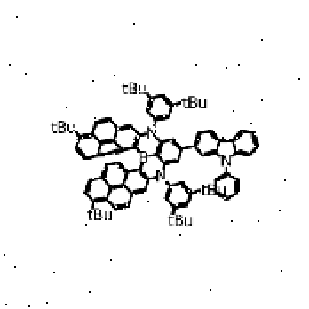 CC(C)(C)c1cc(N2c3cc(-c4ccc5c6ccccc6n(-c6ccccc6)c5c4)cc4c3B(c3c2cc2ccc5c(C(C)(C)C)ccc6ccc3c2c65)c2c(cc3ccc5c(C(C)(C)C)ccc6ccc2c3c65)N4c2cc(C(C)(C)C)cc(C(C)(C)C)c2)cc(C(C)(C)C)c1